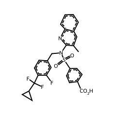 Cc1cc2ccccc2nc1N(Cc1ccc(C(F)(F)C2CC2)c(F)c1)S(=O)(=O)c1ccc(C(=O)O)cc1